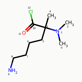 CN(C)C(C)(CCCCN)C(=O)Cl